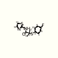 CC(C)(Sc1ccc(F)cc1)C(=O)Nc1nccs1